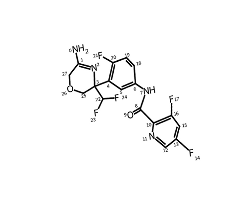 NC1=NC(c2cc(NC(=O)c3ncc(F)cc3F)ccc2F)(C(F)F)COC1